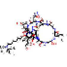 CC[C@H](C)C1NC(O)CNC(=O)[C@@H]2Cc3c([nH]c4cc(OCCCCCCN(C)C(C)(C)C)ccc34)[S+]([O-])C[C@H](NC(=O)CNC1=O)C(=O)N[C@@H](CC(N)=O)C(=O)N1C[C@H](O)C[C@H]1C(=O)N[C@@H]([C@@H](C)[C@@H](O)CO)C(=O)N2